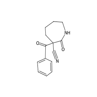 N#CC1(C(=O)c2ccccc2)CCCCNC1=O